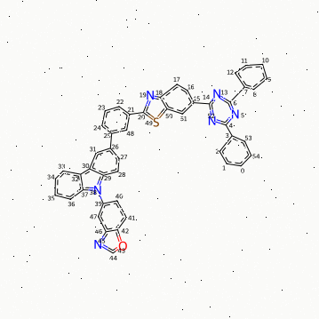 c1ccc(-c2nc(-c3ccccc3)nc(-c3ccc4nc(-c5cccc(-c6ccc7c(c6)c6ccccc6n7-c6ccc7ocnc7c6)c5)sc4c3)n2)cc1